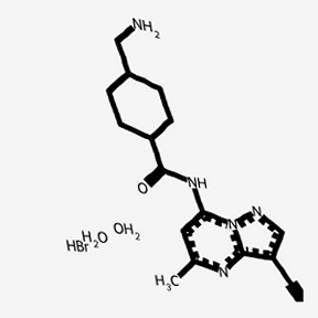 Br.Cc1cc(NC(=O)C2CCC(CN)CC2)n2ncc(C#N)c2n1.O.O